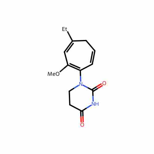 CCC1=CC(OC)=C(N2CCC(=O)NC2=O)C=CC1